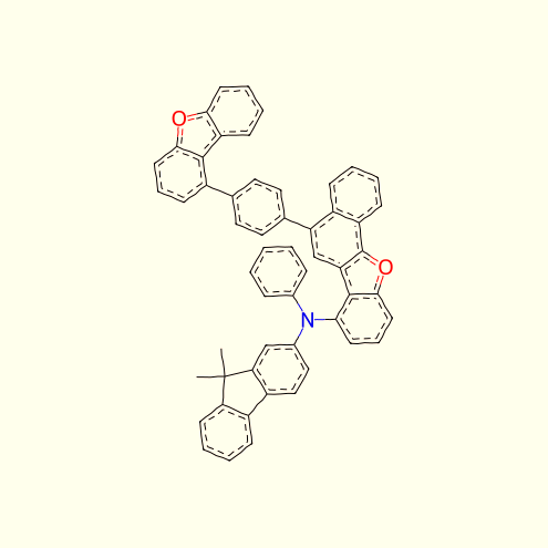 CC1(C)c2ccccc2-c2ccc(N(c3ccccc3)c3cccc4oc5c6ccccc6c(-c6ccc(-c7cccc8oc9ccccc9c78)cc6)cc5c34)cc21